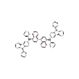 c1ccc(-c2ccccc2N(c2ccc(-c3ccc(N(c4ccc5c(c4)c4ccccc4n5-c4ccccc4)c4ccccc4-c4ccccc4)cc3)cc2)c2ccc3c(c2)c2ccccc2n3-c2ccccc2)cc1